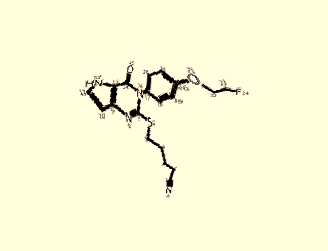 N#CCCCCSc1nc2cc[nH]c2c(=O)n1-c1ccc(OCCF)cc1